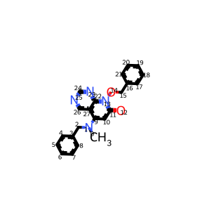 CN(Cc1ccccc1)c1cc(=O)n(OCc2ccccc2)c2ncncc12